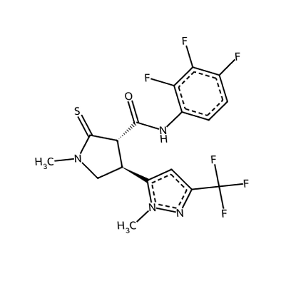 CN1C[C@H](c2cc(C(F)(F)F)nn2C)[C@@H](C(=O)Nc2ccc(F)c(F)c2F)C1=S